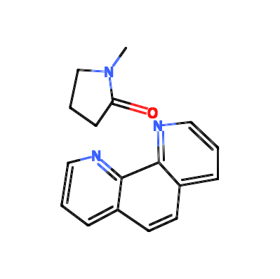 CN1CCCC1=O.c1cnc2c(c1)ccc1cccnc12